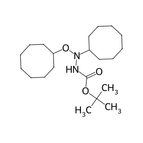 CC(C)(C)OC(=O)NN(OC1CCCCCCC1)C1CCCCCCC1